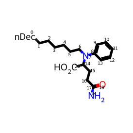 CCCCCCCCCCCCCCCCN(c1ccccc1)C(CCC(N)=O)C(=O)O